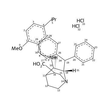 COc1ccc(C(C)C)cc1CNC1C2CCN(C[C@@H]2C(=O)O)[C@H]1C(c1ccccc1)c1ccccc1.Cl.Cl